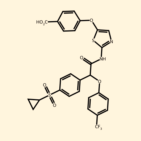 O=C(O)c1ccc(Oc2cnc(NC(=O)C(Oc3ccc(C(F)(F)F)cc3)c3ccc(S(=O)(=O)C4CC4)cc3)s2)cc1